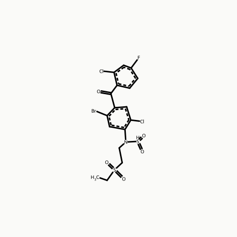 CCS(=O)(=O)CCN(c1cc(Br)c(C(=O)c2ccc(F)cc2Cl)cc1Cl)[SH](=O)=O